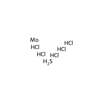 Cl.Cl.Cl.Cl.Cl.S.[Mo]